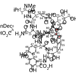 CCCCCCCCCCCC(=O)O.CNC(CC(C)C)C(=O)NC1C(=O)NC(CC(N)=O)C(=O)NC2C(=O)NC3C(=O)NC(C(=O)NC(C(=O)O)c4cc(O)cc(O)c4-c4cc3ccc4O)C(O)c3ccc(c(Cl)c3)Oc3cc2cc(c3OC2OC(CO)C(O)C(O)C2OC2CC(C)(N)C(O)C(C)O2)Oc2ccc(cc2Cl)C1O